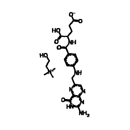 C[N+](C)(C)CCO.Nc1nc2ncc(CNc3ccc(C(=O)NC(CCC(=O)[O-])C(=O)O)cc3)nc2c(=O)[nH]1